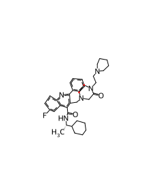 C[C@H](NC(=O)c1c(CN2CCN(CCN3CCCCC3)C(=O)C2)c(-c2ccccc2)nc2ccc(F)cc12)C1CCCCC1